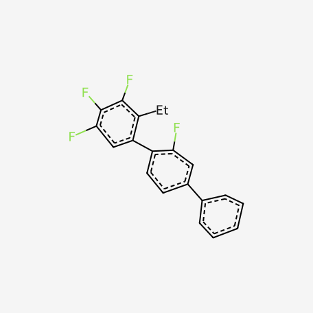 CCc1c(-c2ccc(-c3ccccc3)cc2F)cc(F)c(F)c1F